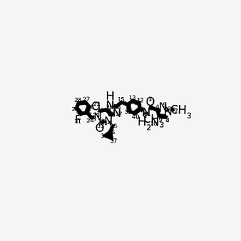 CN(C(=O)c1nn(C)cc1N)c1ccc(Cc2nc3c([nH]2)c(=O)n(Cc2ccccc2F)c(=O)n3CC2CC2)cc1